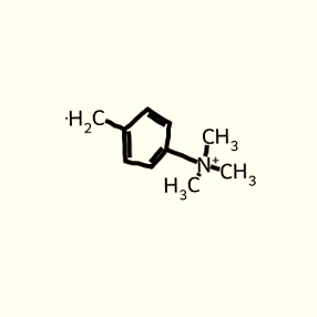 [CH2]c1ccc([N+](C)(C)C)cc1